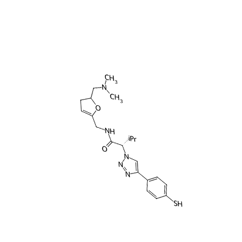 CC(C)[C@@H](C(=O)NCC1=CCC(CN(C)C)O1)n1cc(-c2ccc(S)cc2)nn1